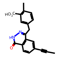 CC#Cc1ccc2c(=O)[nH]nc(Cc3ccc(C)c(C(=O)O)c3)c2c1